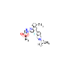 CCC(CC)N1CCc2c(ccc(CCC3=C(C)CCC=C3c3cccc(-n4ncc(C(=O)O)c4OC)n3)c2F)C1